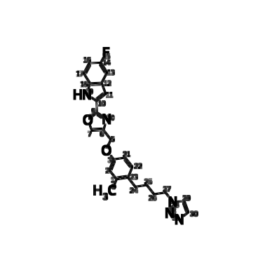 Cc1cc(OCc2coc(-c3cc4cc(F)ccc4[nH]3)n2)ccc1CCCCn1ccnn1